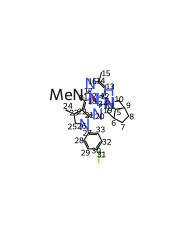 CNc1nc(NC2C3CCC2CN(c2cc(C)ncn2)C3)nc2c1[C@H](C)CN2c1ccc(F)cc1